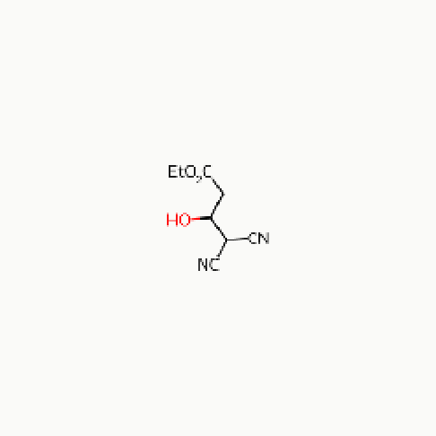 CCOC(=O)CC(O)C(C#N)C#N